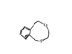 c1ccc2c(c1)CCOCCSC2